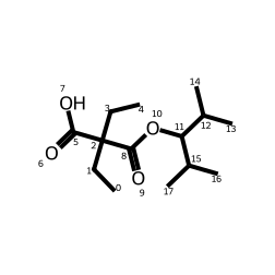 CCC(CC)(C(=O)O)C(=O)OC(C(C)C)C(C)C